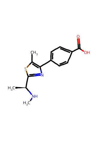 CN[C@@H](C)c1nc(-c2ccc(C(=O)O)cc2)c(C)s1